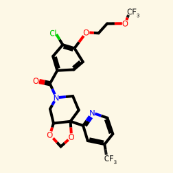 O=C(c1ccc(OCCOC(F)(F)F)c(Cl)c1)N1CCC2(c3cc(C(F)(F)F)ccn3)OCOC2C1